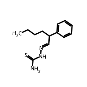 CCCCC(C=NNC(N)=S)c1ccccc1